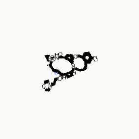 C[C@@H]1C/C=C/[C@H](OCCN2CCOCC2)[C@@H]2CC[C@H]2CN2CCCCc3cc(Cl)ccc3COc3ccc(cc32)C(=O)NS(=O)(=O)[C@H]1CC1CC1